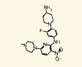 CN1CCN(c2ccc([N+](=O)[O-])c(Nc3ccc(N4CCC(N)CC4)c(F)c3)n2)CC1